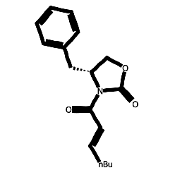 CCCC/C=C/C(=O)N1C(=O)OC[C@H]1Cc1ccccc1